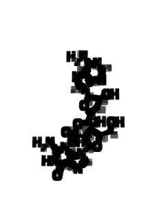 Nc1nc2c(ncn2[C@@H]2O[C@H](CO)[C@@H](O)[C@H]2P(=O)(O)OC[C@@H]2C[C@@H](O)[C@H](n3cnc4c(N)ncnc43)O2)c(=O)[nH]1